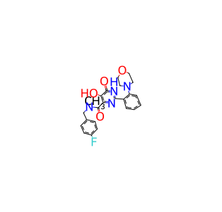 CN(Cc1ccc(F)cc1)C(=O)c1nc(-c2ccccc2N2CCOCC2)[nH]c(=O)c1O